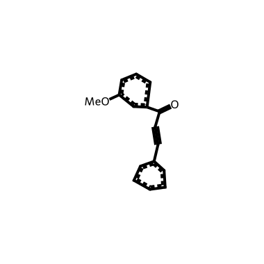 COc1cccc(C(=O)C#Cc2ccccc2)c1